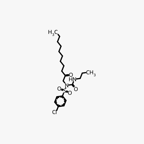 CCCCCCCCCC(=O)CN(C(=O)NCCC)S(=O)(=O)c1ccc(Cl)cc1